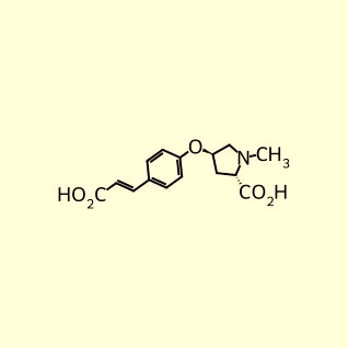 CN1C[C@H](Oc2ccc(/C=C/C(=O)O)cc2)C[C@H]1C(=O)O